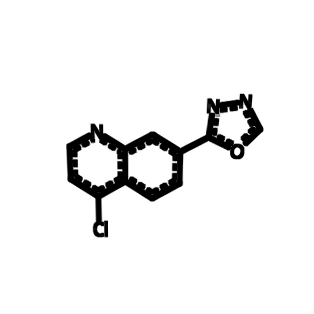 Clc1ccnc2cc(-c3nnco3)ccc12